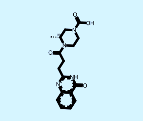 C[C@@H]1CN(C(=O)O)CCN1C(=O)CCc1nc2ccccc2c(=O)[nH]1